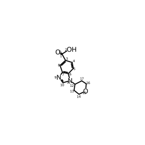 O=C(O)c1ccc2c(c1)ncn2C1CCOCC1